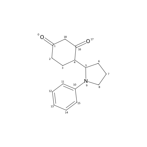 O=C1CCC(C2CCCN2c2ccccc2)C(=O)C1